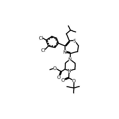 COC(=O)C1CN(C2=NC(c3ccc(Cl)c(Cl)c3)=C(CC(C)C)SCC2)CCN1C(=O)OC(C)(C)C